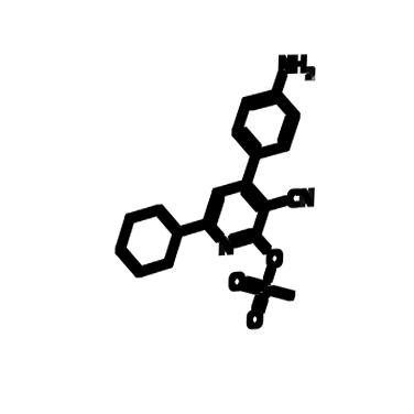 CS(=O)(=O)Oc1nc(C2CCCCC2)cc(-c2ccc(N)cc2)c1C#N